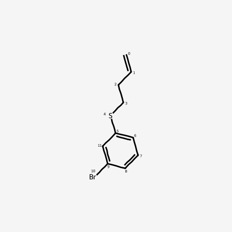 C=CCCSc1cccc(Br)c1